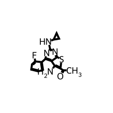 CC(=O)c1sc2nc(NC3CC3)nc(-c3ccccc3F)c2c1N